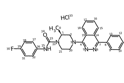 C[C@H]1CN(c2nnc(-c3ccccc3)c3ccccc23)CCN1C(=O)Nc1ccc(F)cc1.Cl